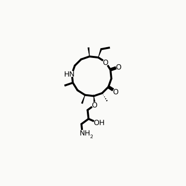 CC[C@H]1OC(=O)CC(=O)[C@H](C)[C@@H](OCC(O)CN)[C@@H](C)CC(C)NCC[C@H]1C